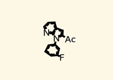 CC(=O)c1cc2cccnc2n1-c1cccc(F)c1